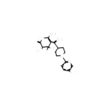 N=C(C1=C(N)NC(=O)C(O)C1(O)C(F)(F)F)C1CCN(c2ccc(C(F)(F)F)cn2)CC1